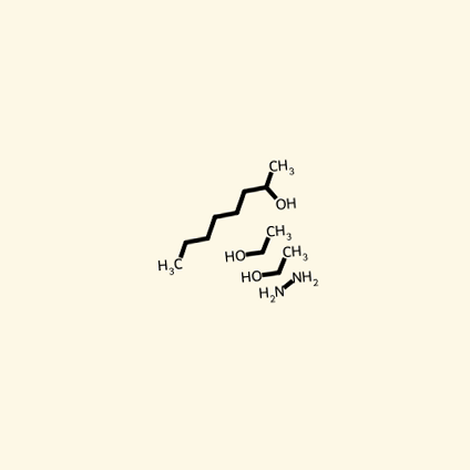 CCCCCCC(C)O.CCO.CCO.NN